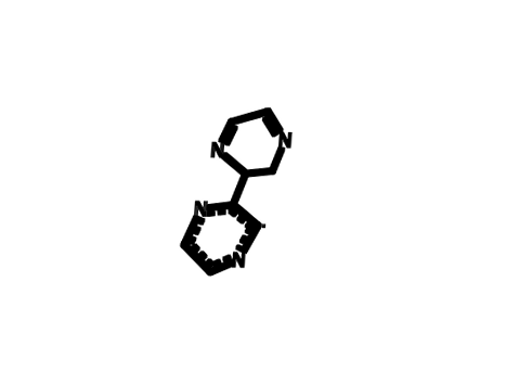 [c]1nccnc1C1CN=CC=N1